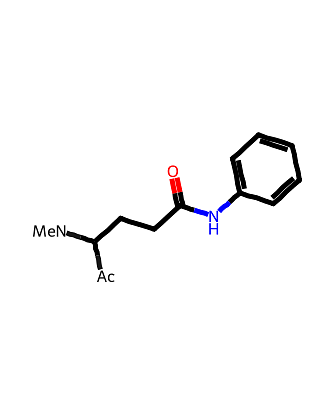 CNC(CCC(=O)Nc1ccccc1)C(C)=O